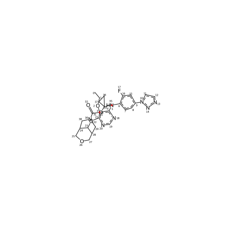 CCOc1c(Nc2ccc(-n3ccnn3)cc2F)ncnc1OC1C2COCC1CN(C(=O)OC1(C)CC1)C2